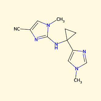 Cn1cnc(C2(Nc3nc(C#N)cn3C)CC2)c1